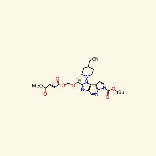 COC(=O)/C=C/C(=O)OCO[C@H](C)c1nc2cnc3c(ccn3C(=O)OC(C)(C)C)c2n1N1CCC(CC#N)CC1